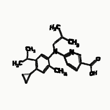 Cc1cc(C2CC2)c(C(C)C)cc1N(CC(C)C)c1ccc(C(=O)O)cn1